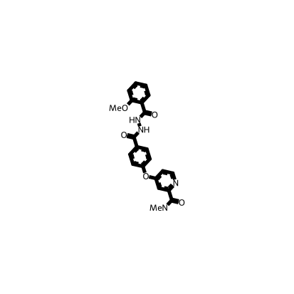 CNC(=O)c1cc(Oc2ccc(C(=O)NNC(=O)c3ccccc3OC)cc2)ccn1